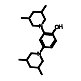 CC1CC(C)CN(c2ccc(O)c(N3CC(C)CC(C)C3)c2)C1